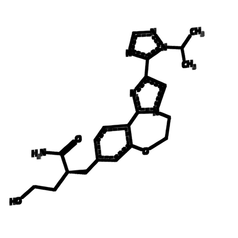 CC(C)n1ncnc1-c1cn2c(n1)-c1ccc(C[C@@H](CCO)C(N)=O)cc1OCC2